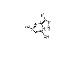 Oc1cc(Cl)nc2c(Br)cnn12